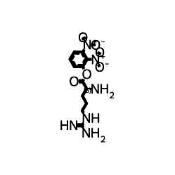 N=C(N)NCCC[C@H](N)C(=O)Oc1cccc([N+](=O)[O-])c1[N+](=O)[O-]